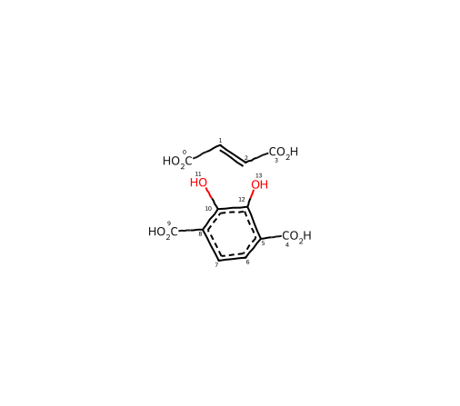 O=C(O)/C=C/C(=O)O.O=C(O)c1ccc(C(=O)O)c(O)c1O